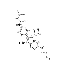 CSCCOc1ccc2c(N)c(-c3ccc(NC(=O)OC(C)C)cc3)n(C3CCC3)c2c1